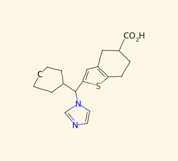 O=C(O)C1CCc2sc(C(C3CCCCC3)n3ccnc3)cc2C1